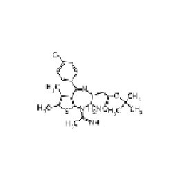 CC(=N)N1c2sc(C)c(C)c2C(c2ccc(Cl)cc2)=N[C@@H](CC(=O)OC(C)(C)C)C1N